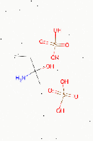 CCC(C)(N)O.O=S(=O)(O)O.O=S(=O)(O)O